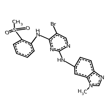 Cn1cnc2ccc(Nc3ncc(Br)c(Nc4ccccc4S(C)(=O)=O)n3)cc21